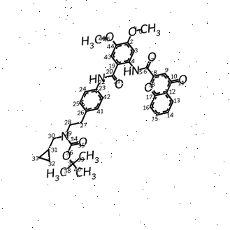 COc1cc(NC(=O)c2cc(=O)c3ccccc3o2)c(C(=O)Nc2ccc(CCN(CC3CC3)C(=O)OC(C)(C)C)cc2)cc1OC